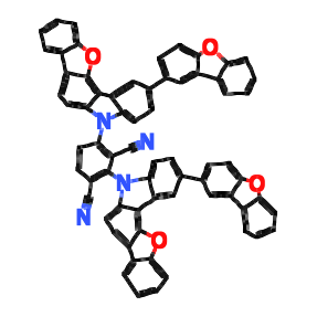 N#Cc1ccc(-n2c3ccc(-c4ccc5oc6ccccc6c5c4)cc3c3c4oc5ccccc5c4ccc32)c(C#N)c1-n1c2ccc(-c3ccc4oc5ccccc5c4c3)cc2c2c3oc4ccccc4c3ccc21